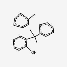 CC(C)(c1ccccc1)c1ccccc1O.Cc1ccccc1